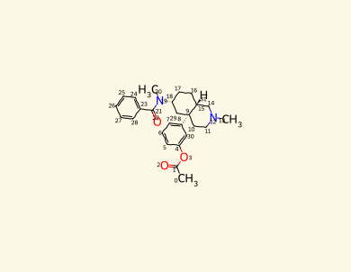 CC(=O)Oc1cccc([C@@]23CCN(C)C[C@H]2CC[C@@H](N(C)C(=O)c2ccccc2)C3)c1